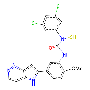 COc1ccc(-c2cc3nnccc3[nH]2)cc1NC(=O)N(S)c1cc(Cl)cc(Cl)c1